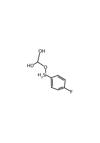 OC(O)O[SiH2]c1ccc(F)cc1